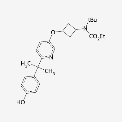 CCOC(=O)N(C1CC(Oc2ccc(C(C)(C)c3ccc(O)cc3)nc2)C1)C(C)(C)C